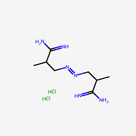 CC(C/N=N/CC(C)C(=N)N)C(=N)N.Cl.Cl